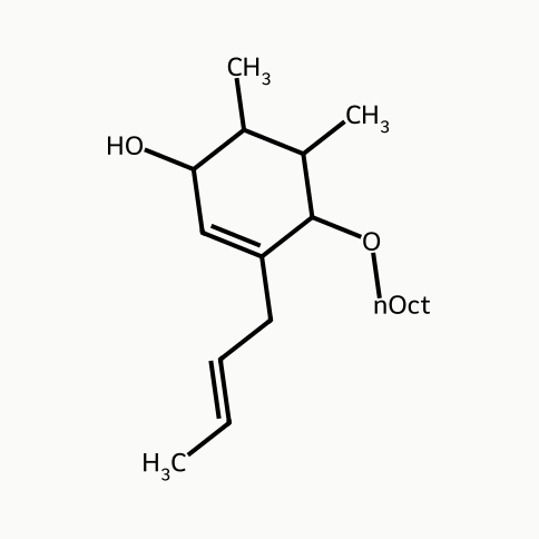 C/C=C/CC1=CC(O)C(C)C(C)C1OCCCCCCCC